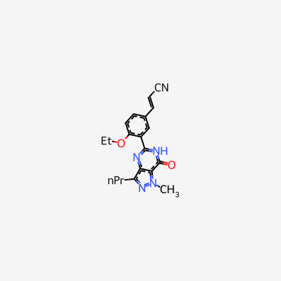 CCCc1nn(C)c2c(=O)[nH]c(-c3cc(/C=C/C#N)ccc3OCC)nc12